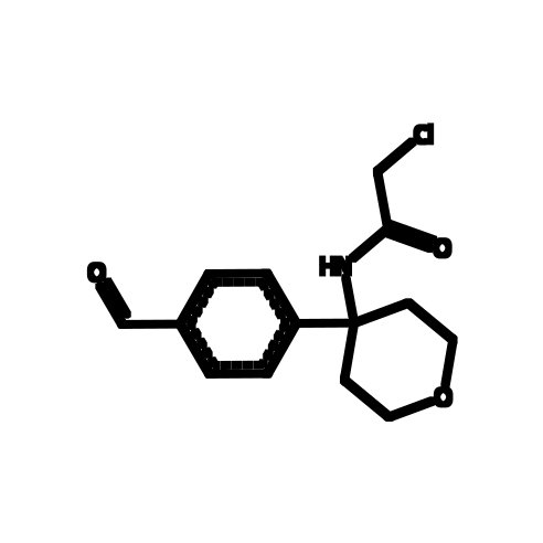 O=Cc1ccc(C2(NC(=O)CCl)CCOCC2)cc1